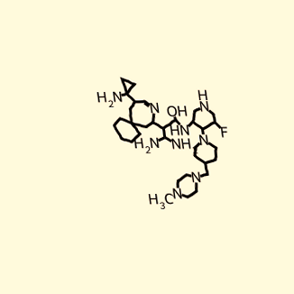 CN1CCN(CC2CCN(C3C(F)CNCC3NC(O)C(C(N)N)C3CC4(CCCCC4)CC(C4(N)CC4)C=N3)CC2)CC1